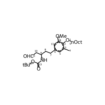 CCCCCCCCOc1c(C)cc(CCC(CC=O)NC(=O)OC(C)(C)C)cc1OC